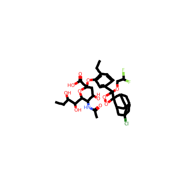 CCc1ccc(C2(OCC(F)F)OOC23C2CC4CC3CC(Cl)(C4)C2)cc1OC1(C(=O)O)CC(O)C(NC(C)=O)C(C(O)C(O)CC)O1